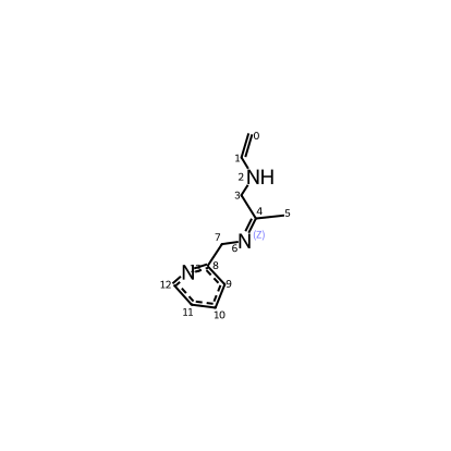 C=CNC/C(C)=N\Cc1ccccn1